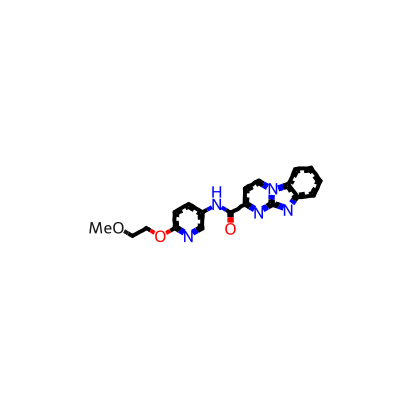 COCCOc1ccc(NC(=O)c2ccn3c(n2)nc2ccccc23)cn1